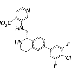 O=C(O)c1ccncc1NC[C@@H]1NCCc2cc(-c3cc(F)c(Cl)c(F)c3)ccc21